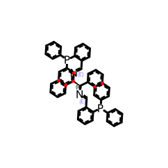 C(=N\C(c1ccccc1)[C@H](/N=C/c1ccccc1P(c1ccccc1)c1ccccc1)c1ccccc1)/c1ccccc1P(c1ccccc1)c1ccccc1